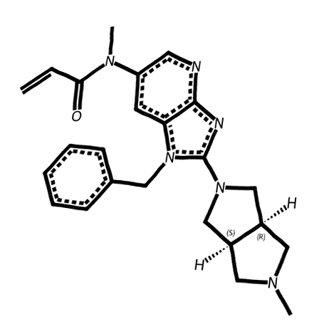 C=CC(=O)N(C)c1cnc2nc(N3C[C@H]4CN(C)C[C@H]4C3)n(Cc3ccccc3)c2c1